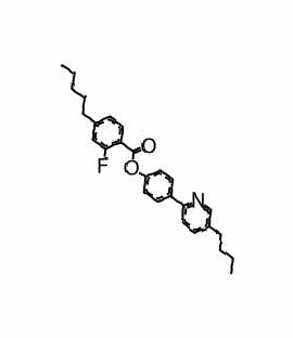 CCCCCc1ccc(C(=O)Oc2ccc(-c3ccc(CCCC)cn3)cc2)c(F)c1